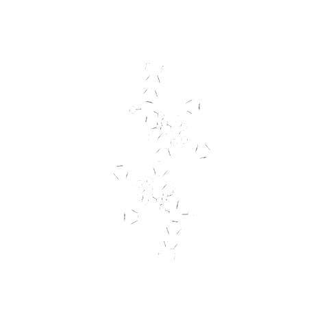 O=C1C(=Cc2nc3c(s2)C2=CC4C=C5OC(C(=O)OCc6ccccc6)(C(=O)OCc6ccccc6)c6nc(C=C7C(=O)c8cc9cc(F)c(F)cc9cc8C7=O)sc6C5=CC4C=C2OC3(C(=O)OCc2ccccc2)C(=O)OCc2ccccc2)C(=O)c2cc3cc(F)c(F)cc3cc21